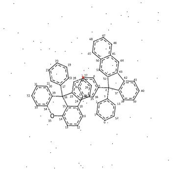 c1ccc(C2(c3cccc(-c4cccc5c4C(c4ccccc4)(c4ccccc4)c4ccccc4O5)c3)c3ccccc3-c3cc4ccccc4cc32)cc1